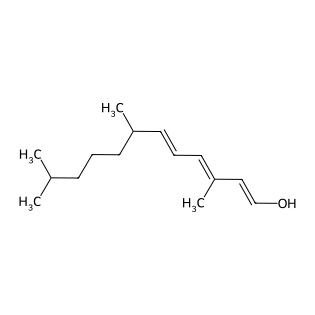 CC(/C=C/O)=C\C=C\C(C)CCCC(C)C